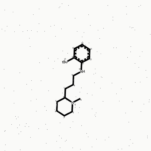 CN1CCCCC1CCCNc1ccccc1C(C)(C)C